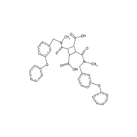 CN(Cc1cccc(Oc2ccccc2)c1)C(=O)C1C(C(=O)O)C(C(=O)N(C)Cc2cccc(Oc3ccccc3)c2)C1C(=O)O